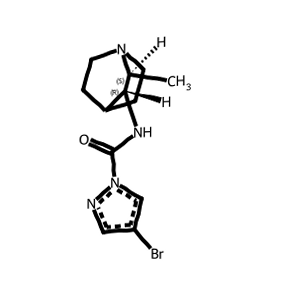 C[C@H]1[C@H](NC(=O)n2cc(Br)cn2)C2CCN1CC2